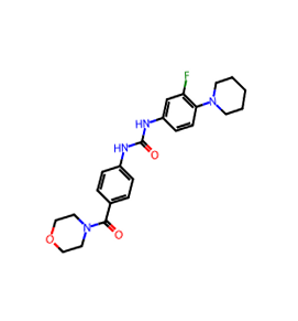 O=C(Nc1ccc(C(=O)N2CCOCC2)cc1)Nc1ccc(N2CCCCC2)c(F)c1